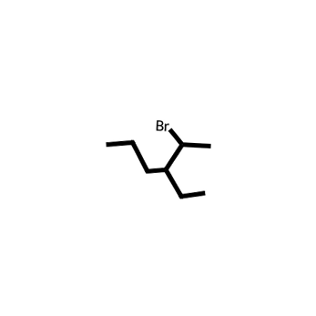 CCCC(CC)C(C)Br